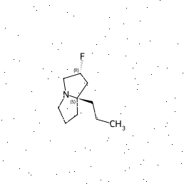 CCC[C@@]12CCCN1C[C@H](F)C2